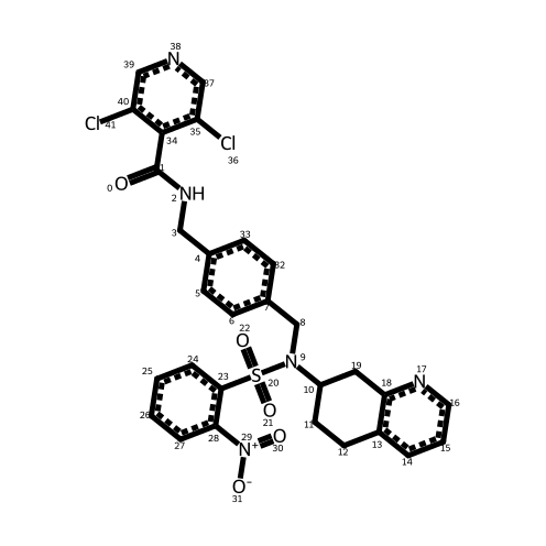 O=C(NCc1ccc(CN(C2CCc3cccnc3C2)S(=O)(=O)c2ccccc2[N+](=O)[O-])cc1)c1c(Cl)cncc1Cl